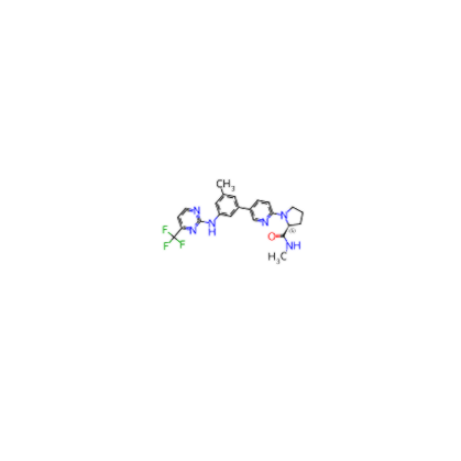 CNC(=O)[C@@H]1CCCN1c1ccc(-c2cc(C)cc(Nc3nccc(C(F)(F)F)n3)c2)cn1